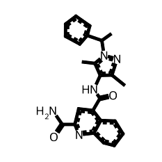 Cc1nn(C(C)c2ccccc2)c(C)c1NC(=O)c1cc(C(N)=O)nc2ccccc12